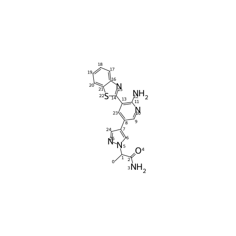 CC(C(N)=O)n1cc(-c2cnc(N)c(-c3nc4ccccc4s3)c2)cn1